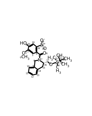 COc1cc(C(=O)N2Cc3ccccc3C[C@H]2CO[Si](C)(C)C(C)(C)C)c([N+](=O)[O-])cc1O